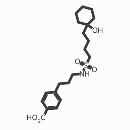 O=C(O)c1ccc(CCCNS(=O)(=O)CCCCC2(O)CCCCC2)cc1